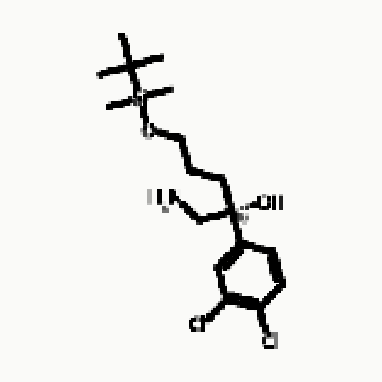 CC(C)(C)[Si](C)(C)OCCC[C@](O)(CN)c1ccc(Cl)c(Cl)c1